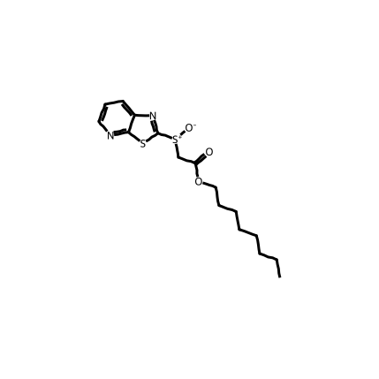 CCCCCCCCOC(=O)C[S+]([O-])c1nc2cccnc2s1